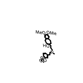 COc1cc2c(cc1OC)CCC(O)(CCCN(C)CCc1cccc(OS(C)(=O)=O)c1)CC2